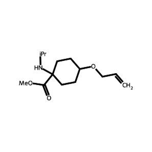 C=CCOC1CCC(NC(C)C)(C(=O)OC)CC1